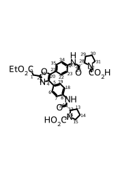 CCOC(=O)Cc1nc(-c2ccc(NC(=O)[C@@H]3CCCN3C(=O)O)cc2)c(-c2ccc(NC(=O)[C@@H]3CCCN3C(=O)O)cc2)o1